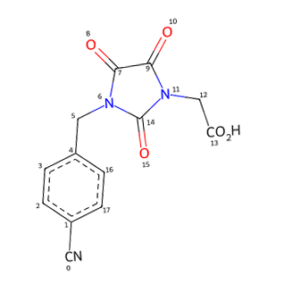 N#Cc1ccc(CN2C(=O)C(=O)N(CC(=O)O)C2=O)cc1